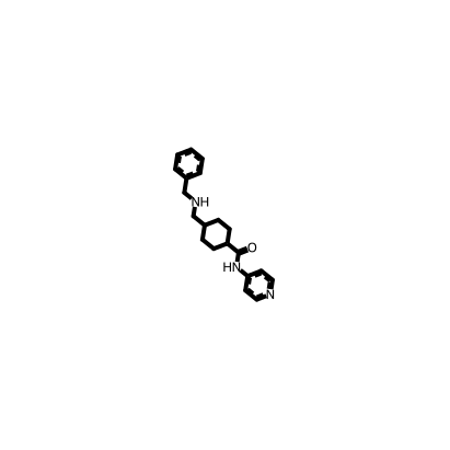 O=C(Nc1ccncc1)C1CCC(CNCc2ccccc2)CC1